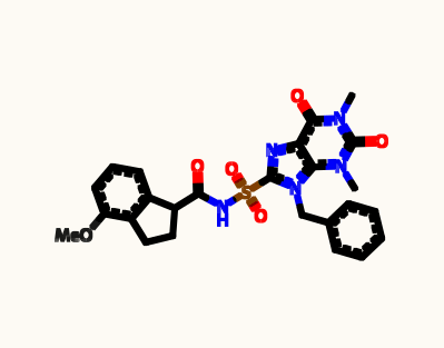 COc1cccc2c1CCC2C(=O)NS(=O)(=O)c1nc2c(=O)n(C)c(=O)n(C)c2n1Cc1ccccc1